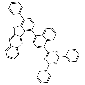 c1ccc(C2=NC(c3ccccc3)NC(c3ccc(-c4ncc(-c5ccccc5)c5oc6cc7ccccc7cc6c45)c4ccccc34)=N2)cc1